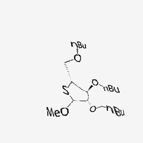 CCCCOC[C@H]1SC(OC)[C@@H](OCCCC)[C@@H]1OCCCC